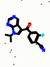 CC(C)n1cc(C(=O)c2ccc(C#N)c(F)c2)c2cncnc21